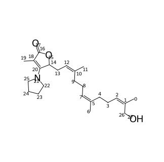 CC(=CCCC(C)=CCCC(C)=CCC1OC(=O)C(C)=C1N1CCCC1)CO